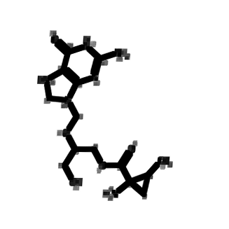 CC1CC1(N)C(=O)OCC(CO)OCN1CNc2c1nc(N)[nH]c2=O